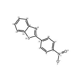 O=[N+]([O-])c1ccc(-c2nc3ccccc3s2)cc1